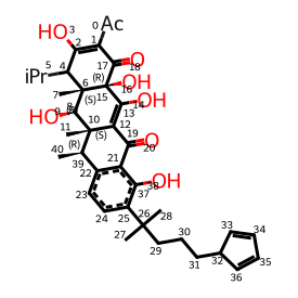 CC(=O)C1=C(O)C(C(C)C)[C@@]2(C)[C@H](O)[C@]3(C)C(=C(O)[C@@]2(O)C1=O)C(=O)c1c(ccc(C(C)(C)CCCC2C=CC=C2)c1O)[C@H]3C